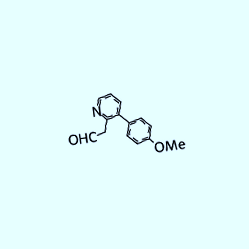 COc1ccc(-c2cccnc2CC=O)cc1